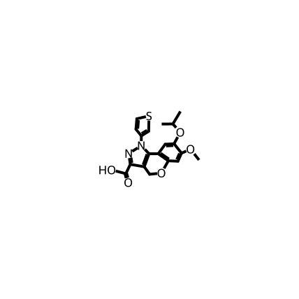 COc1cc2c(cc1OC(C)C)-c1c(c(C(=O)O)nn1-c1ccsc1)CO2